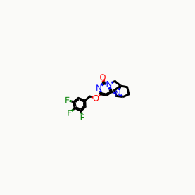 O=c1nc(OCc2cc(F)c(F)c(F)c2)cc2n1CC13CCC(CC1)N23